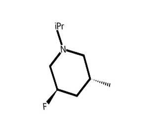 CC(C)N1C[C@H](C)C[C@@H](F)C1